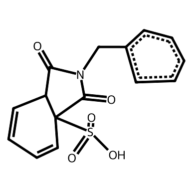 O=C1C2C=CC=CC2(S(=O)(=O)O)C(=O)N1Cc1ccccc1